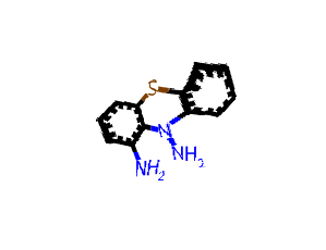 Nc1cccc2c1N(N)c1ccccc1S2